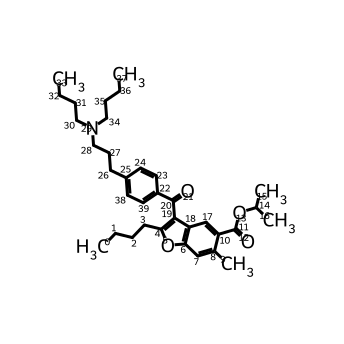 CCCCc1oc2cc(C)c(C(=O)OC(C)C)cc2c1C(=O)c1ccc(CCCN(CCCC)CCCC)cc1